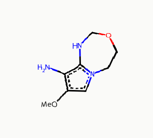 COc1cn2c(c1N)NCOCC2